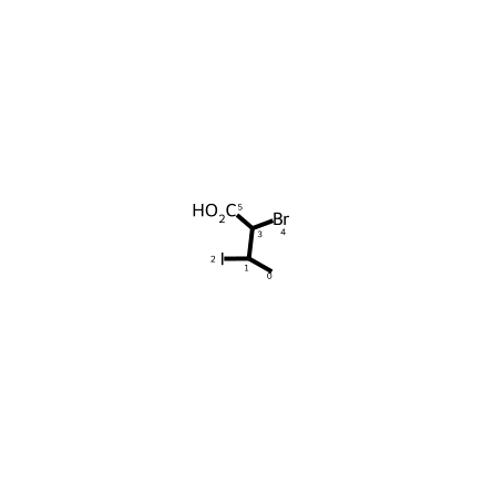 CC(I)C(Br)C(=O)O